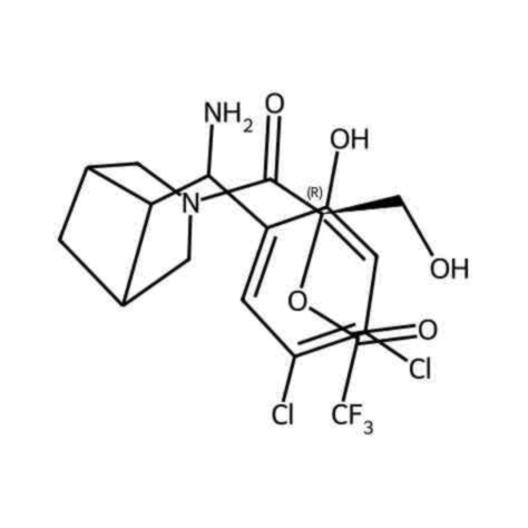 NC(c1cc(Cl)c(Cl)cc1O)C1C2CC1CN(C(=O)[C@@H](CO)OC(=O)C(F)(F)F)C2